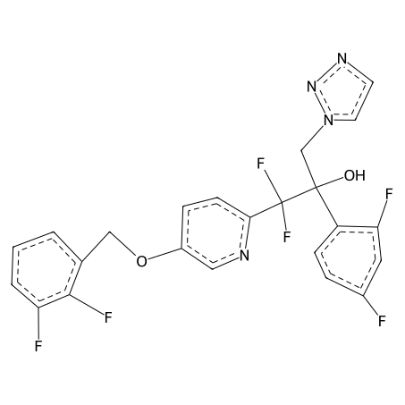 OC(Cn1ccnn1)(c1ccc(F)cc1F)C(F)(F)c1ccc(OCc2cccc(F)c2F)cn1